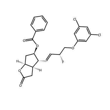 O=C1C[C@@H]2[C@@H](/C=C/[C@@H](F)COc3cc(Cl)cc(Cl)c3)[C@H](OC(=O)c3ccccc3)C[C@@H]2O1